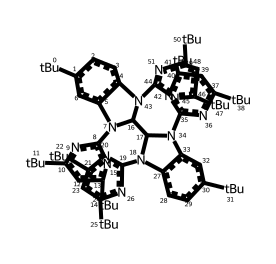 CC(C)(C)c1ccc2c(c1)N(c1nc(C(C)(C)C)cc(C(C)(C)C)n1)C(C1N(c3nc(C(C)(C)C)cc(C(C)(C)C)n3)c3ccc(C(C)(C)C)cc3N1c1nc(C(C)(C)C)cc(C(C)(C)C)n1)N2c1nc(C(C)(C)C)cc(C(C)(C)C)n1